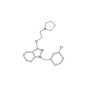 Clc1cccc(Cn2nc(OCCN3CCCC3)c3ccccc32)c1